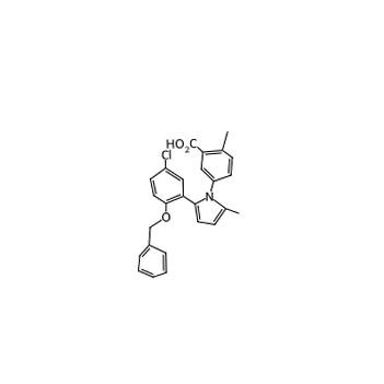 Cc1ccc(-n2c(C)ccc2-c2cc(Cl)ccc2OCc2ccccc2)cc1C(=O)O